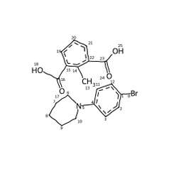 Brc1ccc(N2CCCCC2)cc1.Cc1c(C(=O)O)cccc1C(=O)O